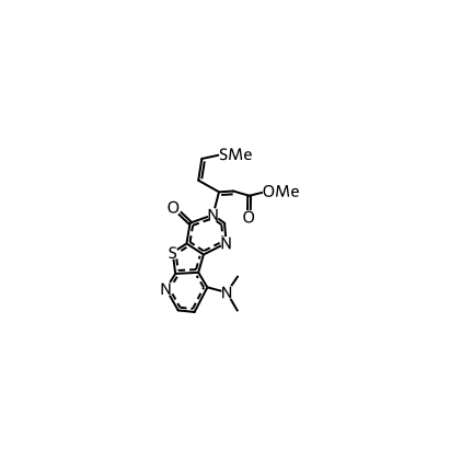 COC(=O)/C=C(/C=C\SC)n1cnc2c(sc3nccc(N(C)C)c32)c1=O